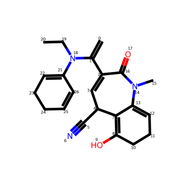 C=C(C1=CC(C#N)C2=C(O)CCC=C2N(C)C1=O)N(CC)C1=CCCC=C1